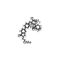 COCCN1Cc2cc(-c3ccc(CC(NC(=O)C4(NC(=O)O)CCCCC4)C(N)=O)cc3)ccc2C1=O